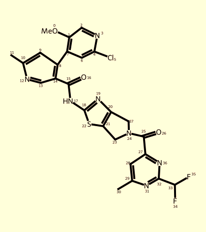 COc1cnc(Cl)cc1-c1cc(C)ncc1C(=O)Nc1nc2c(s1)CN(C(=O)c1cc(C)nc(C(F)F)n1)C2